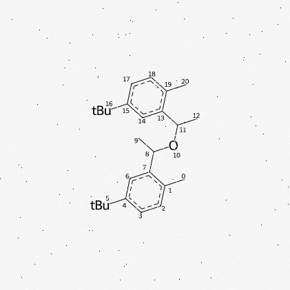 Cc1ccc(C(C)(C)C)cc1C(C)OC(C)c1cc(C(C)(C)C)ccc1C